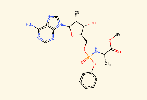 CC(C)OC(=O)[C@H](C)N[P@@](=O)(OC[C@H]1O[C@@H](n2cnc3c(N)ncnc32)[C@H](C#N)[C@@H]1O)Oc1ccccc1